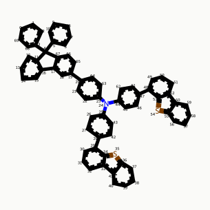 c1ccc(C2(c3ccccc3)c3ccccc3-c3cc(-c4ccc(N(c5ccc(-c6cccc7c6sc6ccccc67)cc5)c5ccc(-c6cccc7c6sc6ccccc67)cc5)cc4)ccc32)cc1